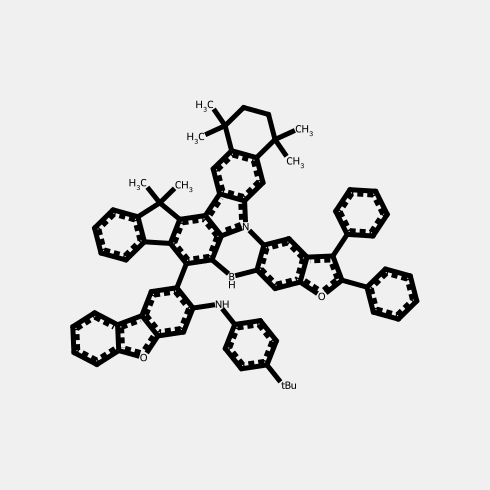 CC(C)(C)c1ccc(Nc2cc3oc4ccccc4c3cc2-c2c3c(c4c5cc6c(cc5n5c4c2Bc2cc4oc(-c7ccccc7)c(-c7ccccc7)c4cc2-5)C(C)(C)CCC6(C)C)C(C)(C)c2ccccc2-3)cc1